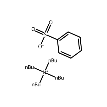 CCCC[N+](CCCC)(CCCC)CCCC.O=S(=O)([O-])c1ccccc1